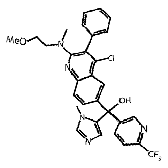 COCCN(C)c1nc2ccc(C(O)(c3ccc(C(F)(F)F)nc3)c3cncn3C)cc2c(Cl)c1-c1ccccc1